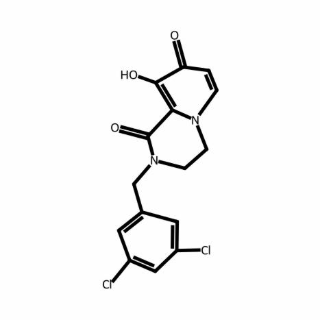 O=C1c2c(O)c(=O)ccn2CCN1Cc1cc(Cl)cc(Cl)c1